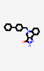 O=c1[nH]nc2c3ccccc3n(Cc3ccc(-c4ccccc4)cc3)cc1-2